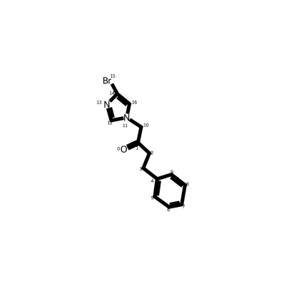 O=C(CCc1ccccc1)Cn1cnc(Br)c1